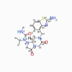 CNC(=O)N(C(C)C)N1CC(=O)N2CC(=O)N(Cc3cccc4sc(N)nc34)C[C@@H]21